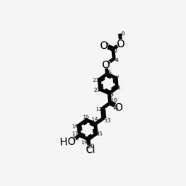 COC(=O)COc1ccc(C(=O)C=Cc2ccc(O)c(Cl)c2)cc1